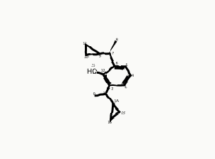 CC(c1cccc([C@H](C)C2CC2)c1O)C1CC1